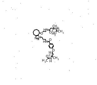 CC(=O)NC(C)(C)CCOc1ccc(C(=O)NCCCn2nnc3c2C(OCCNC(=O)CC(C)(C)NC(C)=O)CCCCC3)cc1